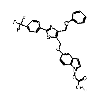 CC(=O)On1ccc2cc(OCc3sc(-c4ccc(C(F)(F)F)cc4)nc3COc3ccccc3)ccc21